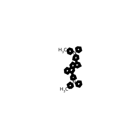 Cc1ccc(N(c2ccccc2)c2ccc(-c3cc4c5cccc(-c6ccc(N(c7ccccc7)c7ccc(C)cc7)cc6)c5ccc4c4ccccc34)cc2)cc1